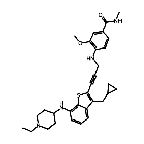 CCN1CCC(Nc2cccc3c(CC4CC4)c(C#CCNc4ccc(C(=O)NC)cc4OC)sc23)CC1